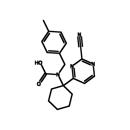 Cc1ccc(CN(C(=O)O)C2(c3ccnc(C#N)n3)CCCCC2)cc1